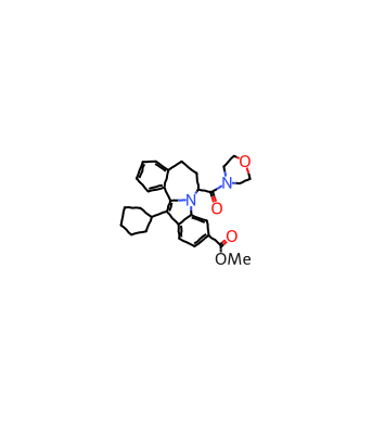 COC(=O)c1ccc2c(C3CCCCC3)c3n(c2c1)C(C(=O)N1CCOCC1)CCc1ccccc1-3